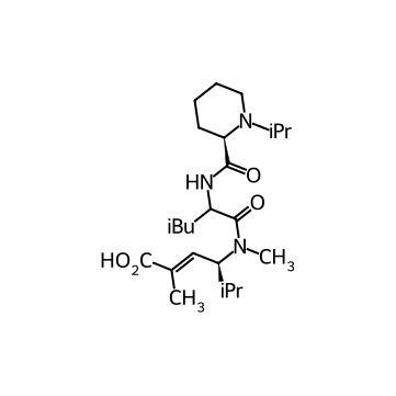 CCC(C)C(NC(=O)[C@H]1CCCCN1C(C)C)C(=O)N(C)[C@H](/C=C(\C)C(=O)O)C(C)C